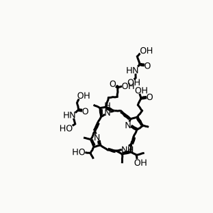 CC1=C(CCC(=O)O)c2cc3[nH]c(cc4nc(cc5[nH]c(cc1n2)c(C(C)O)c5C)C(C(C)O)=C4C)c(C)c3CCC(=O)O.O=C(CO)NCO.O=C(CO)NCO